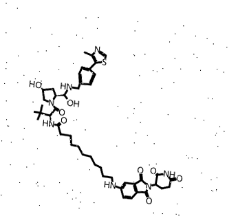 Cc1ncsc1-c1ccc(CNC(O)[C@@H]2C[C@@H](O)CN2C(=O)[C@@H](NC(=O)CCCCCCCCCCNc2ccc3c(c2)C(=O)N(C2CCC(=O)NC2=O)C3=O)C(C)(C)C)cc1